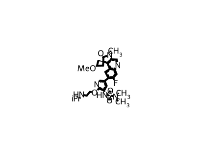 CO[C@H]1C[C@@]2(C1)C(=O)N(C)c1cnc3cc(F)c(-c4cnc(OCCNC(C)C)c(NS(=O)(=O)N(C)C)c4)cc3c12